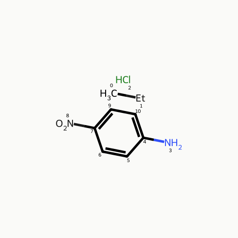 CCC.Cl.Nc1ccc([N+](=O)[O-])cc1